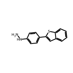 NNc1ccc(-c2cc3ccccc3s2)cc1